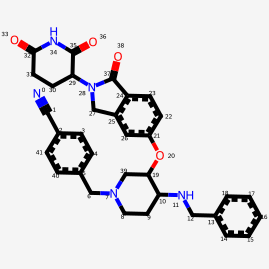 N#Cc1ccc(CN2CCC(NCc3ccccc3)C(Oc3ccc4c(c3)CN(C3CCC(=O)NC3=O)C4=O)C2)cc1